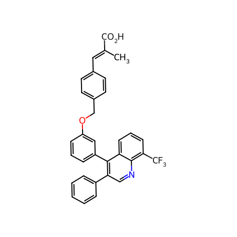 CC(=Cc1ccc(COc2cccc(-c3c(-c4ccccc4)cnc4c(C(F)(F)F)cccc34)c2)cc1)C(=O)O